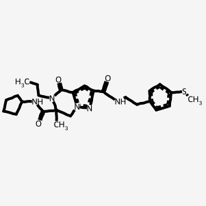 CCCN1C(=O)c2cc(C(=O)NCCc3ccc(SC)cc3)nn2CC1(C)C(=O)NC1CCCC1